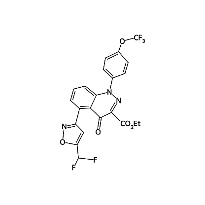 CCOC(=O)c1nn(-c2ccc(OC(F)(F)F)cc2)c2cccc(-c3cc(C(F)F)on3)c2c1=O